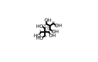 OCC(CO)(CO)CO.OCC(CO)CO